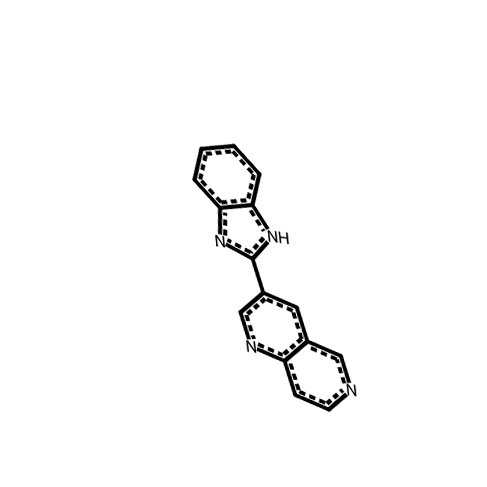 c1ccc2[nH]c(-c3cnc4ccncc4c3)nc2c1